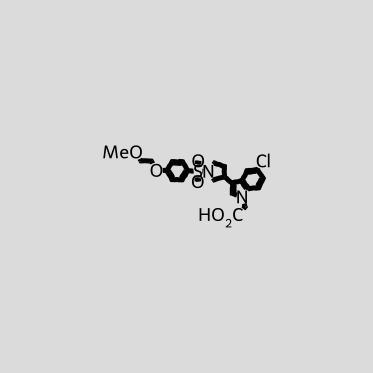 COCCOc1ccc(S(=O)(=O)N2CCC(c3cn(CC(=O)O)c4ccc(Cl)cc34)C2)cc1